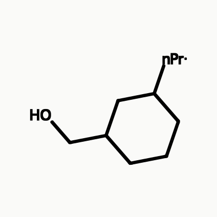 CC[CH]C1CCCC(CO)C1